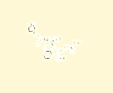 CC(C)(C)C(=O)OCOC(O)c1cccc2c1OB(O)[C@@H](NC(=O)CCn1ccnc1)C2